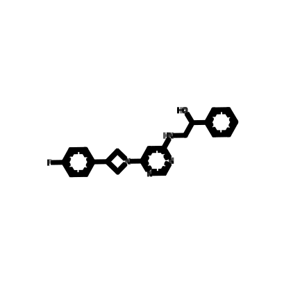 OC(CNc1cc(N2CC(c3ccc(F)cc3)C2)ncn1)c1ccccc1